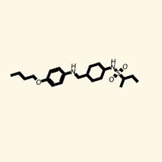 CCCCOc1ccc(NCC2CCC(NS(=O)(=O)C(C)CC)CC2)cc1